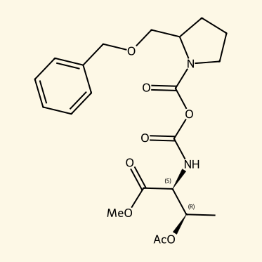 COC(=O)[C@@H](NC(=O)OC(=O)N1CCCC1COCc1ccccc1)[C@@H](C)OC(C)=O